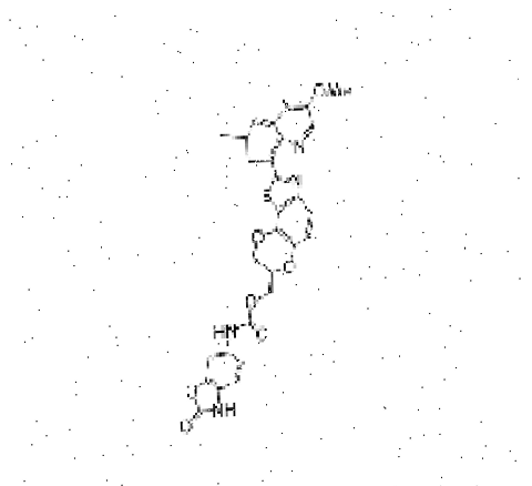 COc1cnc2c(-c3nc4ccc5c(c4s3)OC[C@H](COC(=O)Nc3ccc4[nH]c(=O)oc4c3)O5)cc(C)cc2n1